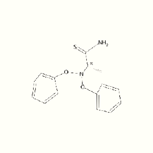 C[C@@H](C(N)=S)N(Oc1ccccc1)Oc1ccccc1